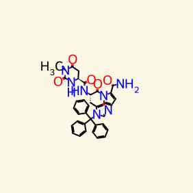 CN1C(=O)C[C@@H](C(=O)N[C@@H](Cc2cncn2C(c2ccccc2)(c2ccccc2)c2ccccc2)C(=O)n2cccc2C(N)=O)NC1=O